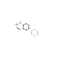 CCC[C@H]1CC[C@H](c2ccc3c(c2)C=CC(F)(F)C3(F)F)CC1